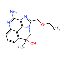 CCOCc1nc2c(N)nc3cccc4c3c2n1CC4(C)O